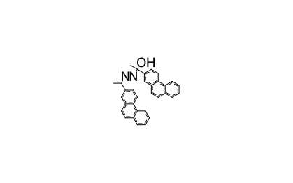 CC(N=NC(C)(O)c1ccc2c(ccc3ccccc32)c1)c1ccc2c(ccc3ccccc32)c1